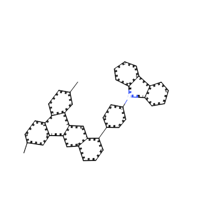 Cc1ccc2c3ccc(C)cc3c3cc4c(-c5ccc(-n6c7ccccc7c7ccccc76)cc5)cccc4cc3c2c1